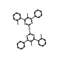 Cc1ccccc1-c1n[c]([Ir+][c]2nc(-c3ccccc3)c(C)c(-c3ccccc3C)n2)nc(-c2ccccc2)c1C